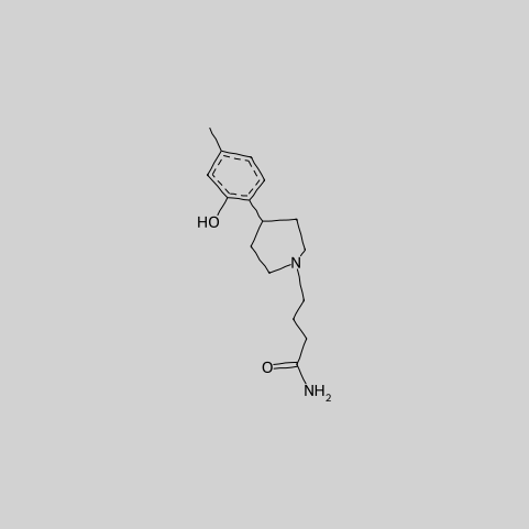 Cc1ccc(C2CCN(CCCC(N)=O)CC2)c(O)c1